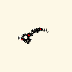 CC[C@H]1OC(=O)[C@H](C)C([C@H]2C[C@@](C)(OC)C[C@H](C)O2)[C@H](C)[C@@H](O[C@H]2C[C@@H](N(C)CC/C(=C/N[C@H](CF)[C@H](OC)c3ccc(N4CC5[C@H]6C4[C@]56N)cc3)N=N)C[C@@H](C)O2)[C@@](O)(I)C[C@@H](C)CN(C)[C@H](C)[C@@H](O)[C@]1(C)O